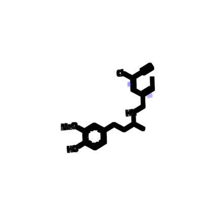 C#C/C(Cl)=C\C(=C/C)CNC(C)CCc1ccc(O)c(OC)c1